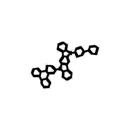 c1ccc(-c2ccc(-n3c4ccccc4c4cc5c(cc43)c3ccccc3n5-c3ccc4c5ccccc5c5ccccc5c4c3)cc2)cc1